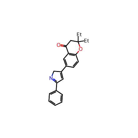 CCC1(CC)CC(=O)c2cc(C3=CC(c4ccccc4)=NC3)ccc2O1